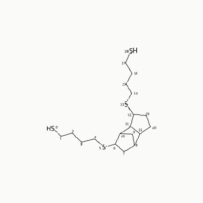 SCCCCSC1CC2CC1C1C(SCCCCS)CCC21